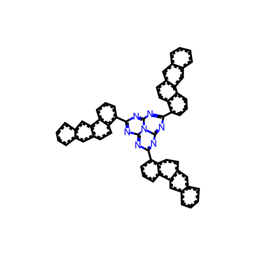 c1ccc2cc3c(ccc4c(C5=NC6=NC(c7cccc8c7ccc7cc9ccccc9cc78)=NC7=NC(c8cccc9c8ccc8cc%10ccccc%10cc89)=NC(=N5)N67)cccc43)cc2c1